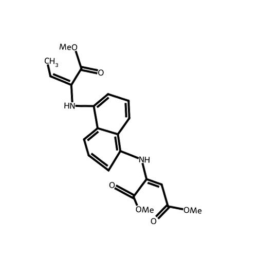 C/C=C(/Nc1cccc2c(N/C(=C/C(=O)OC)C(=O)OC)cccc12)C(=O)OC